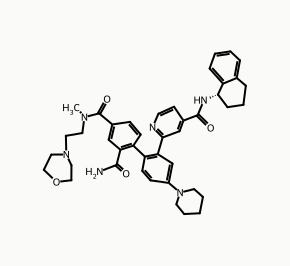 CN(CCN1CCOCC1)C(=O)c1ccc(-c2ccc(N3CCCCC3)cc2-c2cc(C(=O)N[C@H]3CCCc4ccccc43)ccn2)c(C(N)=O)c1